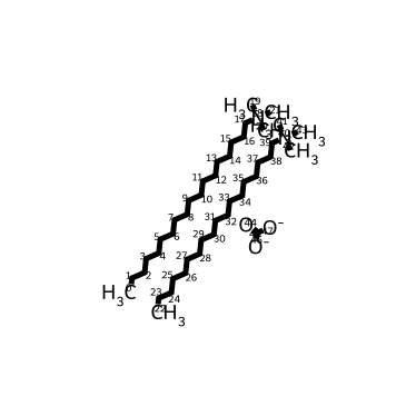 CCCCCCCCCCCCCCCCCC[N+](C)(C)C.CCCCCCCCCCCCCCCCCC[N+](C)(C)C.O=C([O-])[O-]